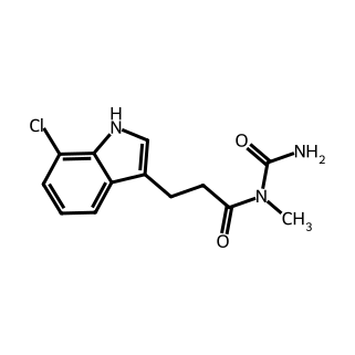 CN(C(N)=O)C(=O)CCc1c[nH]c2c(Cl)cccc12